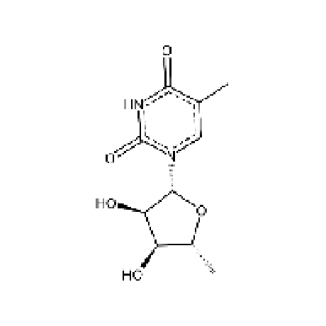 Cc1cn([C@@H]2O[C@H](C)[C@@H](O)[C@H]2O)c(=O)[nH]c1=O